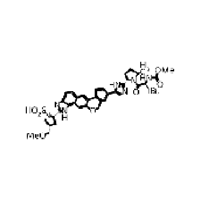 CCC(C)[C@H](NC(=O)OC)C(=O)N1[C@@H](C)CC[C@H]1c1ncc(-c2ccc3c(c2)COc2cc4c(ccc5nc([C@@H]6C[C@H](COC)CN6C(=O)O)[nH]c54)cc2-3)[nH]1